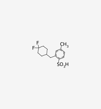 Cc1ccc(S(=O)(=O)O)c(CC2CCC(F)(F)CC2)c1